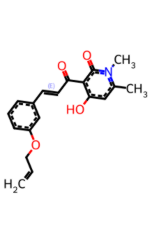 C=CCOc1cccc(/C=C/C(=O)c2c(O)cc(C)n(C)c2=O)c1